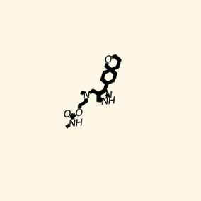 CNC(=O)OCCN(C)Cc1c[nH]nc1C1CCC2(CCCOC2)CC1